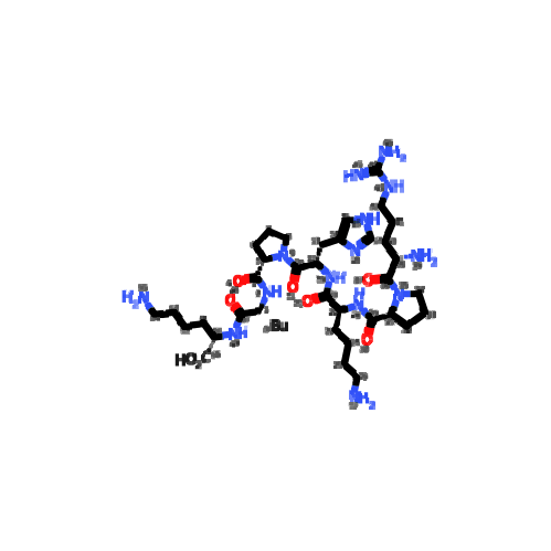 CC[C@H](C)[C@H](NC(=O)[C@@H]1CCCN1C(=O)[C@H](Cc1c[nH]cn1)NC(=O)[C@H](CCCCN)NC(=O)[C@@H]1CCCN1C(=O)[C@@H](N)CCCNC(=N)N)C(=O)N[C@@H](CCCCN)C(=O)O